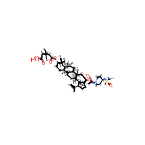 C=C(C)[C@@H]1CC[C@]2(CC(=O)N3CCC(NS(=C)(C)=O)CC3)CC[C@]3(C)[C@H](CC[C@@H]4[C@@]5(C)CC[C@H](OC(=O)CC(C)(C)CC(=O)O)C(C)(C)[C@@H]5CC[C@]43C)[C@@H]12